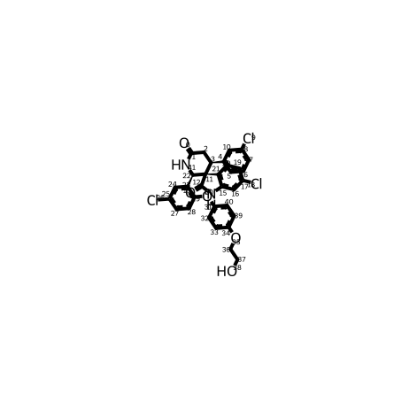 O=C1C[C@@H](c2cccc(Cl)c2)[C@]2(C(=O)Nc3cc(Cl)ccc32)[C@@H](c2cc(Cl)ccc2Oc2ccc(OCCO)cc2)N1